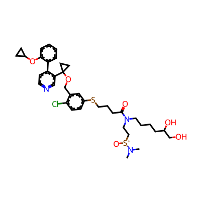 CN(C)[S+]([O-])CCN(CCCCC(O)CO)C(=O)CCCSc1ccc(Cl)c(COC2(c3cnccc3-c3ccccc3OC3CC3)CC2)c1